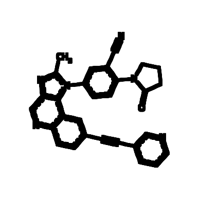 Cc1nc2cnc3ccc(C#Cc4cccnc4)cc3c2n1-c1ccc(N2CCCC2=O)c(C#N)c1